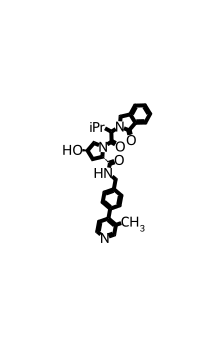 Cc1cnccc1-c1ccc(CNC(=O)[C@@H]2C[C@@H](O)CN2C(=O)C(C(C)C)N2Cc3ccccc3C2=O)cc1